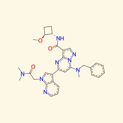 CO[C@H]1CC[C@@H]1NC(=O)c1cnn2c(N(C)Cc3ccccc3)cc(-c3cn(CC(=O)N(C)C)c4ncccc34)nc12